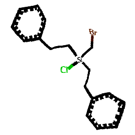 Cl[Si](CBr)(CCc1ccccc1)CCc1ccccc1